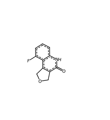 O=c1[nH]c2cccc(F)c2c2c1COC2